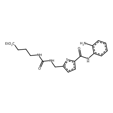 CCOC(=O)CCCNC(=O)NCc1ccc(C(=O)Nc2ccccc2N)s1